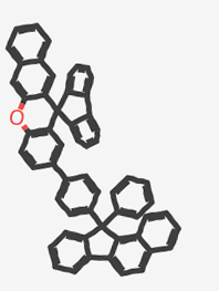 c1ccc(C2(c3ccc(-c4ccc5c(c4)C4(c6cc7ccccc7cc6O5)c5ccccc5-c5ccccc54)cc3)c3ccccc3-c3ccc4ccccc4c32)cc1